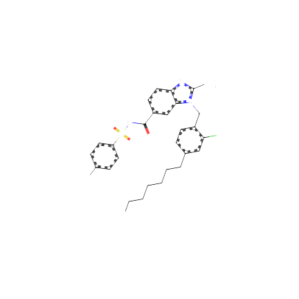 CCCCCCCc1ccc(Cn2c(C)nc3ccc(C(=O)NS(=O)(=O)c4ccc(C)cc4)cc32)c(Cl)c1